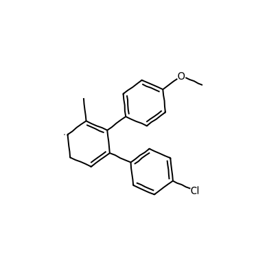 COc1ccc(C2=C(C)[CH]CC=C2c2ccc(Cl)cc2)cc1